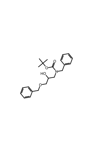 CC(C)(C)OC(=O)N(Cc1ccccc1)CC(O)COCc1ccccc1